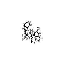 CC(C)(CC(O)(Cc1cc2ccncc2o1)C(F)(F)F)c1cc(Cl)cc2c1OCC2